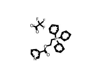 O=C(OCC[P+](c1ccccc1)(c1ccccc1)c1ccccc1)c1cccnc1.O=C([O-])C(F)(F)F